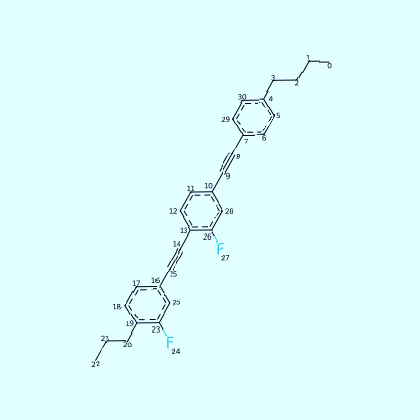 CCCCc1ccc(C#Cc2ccc(C#Cc3ccc(CCC)c(F)c3)c(F)c2)cc1